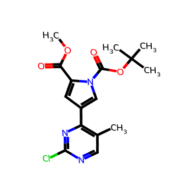 COC(=O)c1cc(-c2nc(Cl)ncc2C)cn1C(=O)OC(C)(C)C